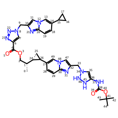 C[C@H](COC(=O)c1cn(Cc2cn3cc(C4CC4)ccc3n2)nn1)[C@@H]1CC1c1ccc2nc(CN3C=C(NC(=O)OC(C)(C)C)NN3)cn2c1